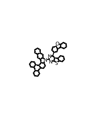 c1ccc2cc3c(cc2c1)c1c2c4ccccc4c4ccccc4c2ccc1n3-c1nc(-c2ccc3oc4ccccc4c3c2)c2c(n1)sc1ccccc12